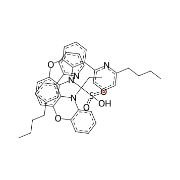 CCCCc1ccc2c(c1)N(C(CC)(N1c3ccccc3Oc3cccc(-c4ccccn4)c31)S(=O)(=O)O)c1c(cccc1-c1cccc(CCCC)n1)O2